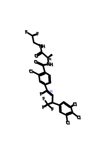 C[C@@H](NC(=O)c1ccc(/C(F)=C/C(c2cc(Cl)c(Cl)c(Cl)c2)C(F)(F)F)cc1Cl)C(=O)NCC(F)F